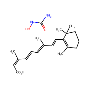 CC1=C(/C=C/C(C)=C/C=C/C(C)=C\C(=O)O)C(C)(C)CCC1.NC(=O)NO